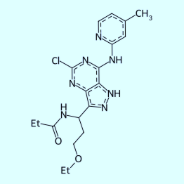 CCOCCC(NC(=O)CC)c1n[nH]c2c(Nc3cc(C)ccn3)nc(Cl)nc12